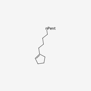 [CH2]CCCCCCCCC1=CCCC1